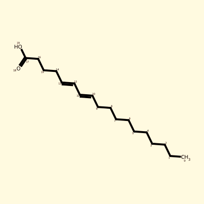 CCCCCCCCCCC=CC=CCCCC(=O)O